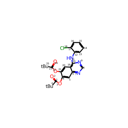 CC(C)(C)C(=O)Oc1cc2ncnc(Nc3ccccc3Cl)c2cc1OC(=O)C(C)(C)C